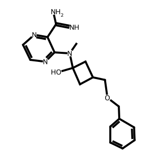 CN(c1nccnc1C(=N)N)C1(O)CC(COCc2ccccc2)C1